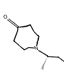 CC[C@H](C)N1CCC(=O)CC1